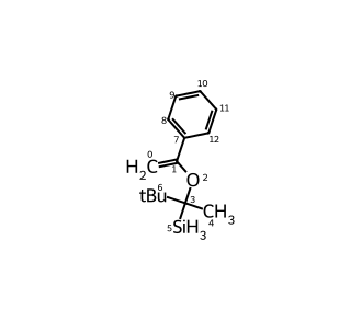 C=C(OC(C)([SiH3])C(C)(C)C)c1ccccc1